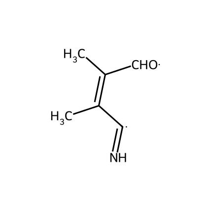 C/C([C]=N)=C(\C)[C]=O